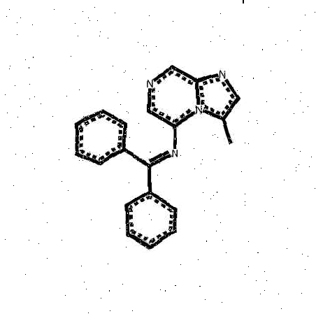 Cc1cnc2cncc(N=C(c3ccccc3)c3ccccc3)n12